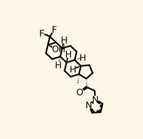 C[C@]12CC[C@@H]3[C@H]4CC[C@@]5(O)C([C@@H]4CC[C@H]3[C@@H]1CC[C@@H]2C(=O)Cn1cccn1)C5(F)F